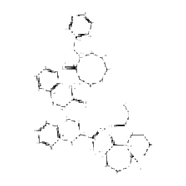 COC(=O)[C@@H]1CCC[C@@H]2SCC[C@H](NC(=O)[C@H](CC[C@H](Cc3ccccc3)C(=O)N[C@H]3CCCCCN(Cc4ccccc4)C3=O)Cc3ccccc3)C(=O)N21